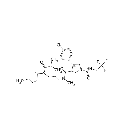 CC1CCC(N(CCCN(C)C(=O)C2CN(C(=O)NCC(F)(F)F)C[C@H]2c2ccc(Cl)cc2)C(=O)C(C)C)CC1